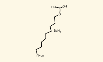 CCCCCCCCCCCCCCCCCCOP(O)O.[BaH2]